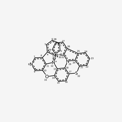 c1cc[n+]2c(c1)-c1cncc3c1[N+]21c2c(ccc4c2-n2c5c(cccc5c5ccc[n+]1c52)S4)O3